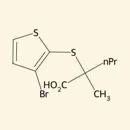 CCCC(C)(Sc1sccc1Br)C(=O)O